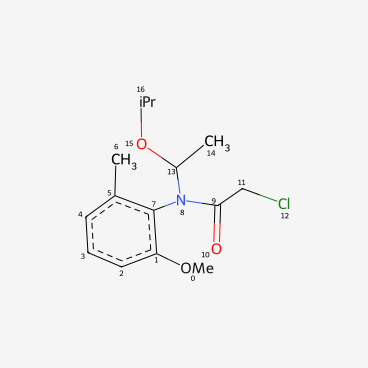 COc1cccc(C)c1N(C(=O)CCl)C(C)OC(C)C